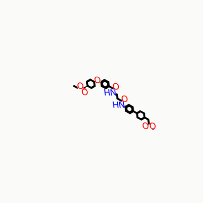 CCOC(=O)[C@H]1CC[C@H](Oc2ccc(C(=O)NCCC(=O)Nc3ccc(C4CCC(CC(=O)OC)CC4)cc3)cc2)CC1